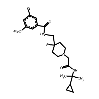 COc1cc(Cl)cc(C(=O)NCC2(F)CCN(CC(=O)NC(C)(C)C3CC3)CC2)c1